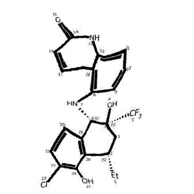 CC[C@H]1C[C@@](O)(C(F)(F)F)[C@@H](Nc2cccc3[nH]c(=O)ccc23)c2ccc(Cl)c(O)c21